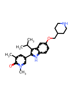 Cc1cc(-c2[nH]c3ccc(OCC4CCNCC4)cc3c2C(C)C)cn(C)c1=O